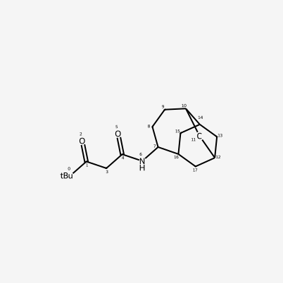 CC(C)(C)C(=O)CC(=O)NC1CCC2CC3CC2CC1C3